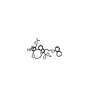 CCOC(=O)c1c(CCCOc2cccc3c2CCCC3)c2cccc3c2n1CCCCOCc1[nH]nc(COC(C)C)c1-3